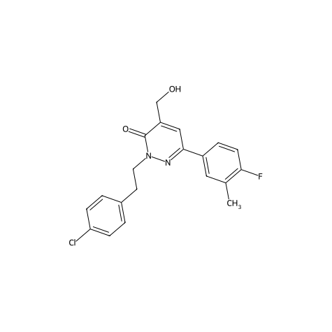 Cc1cc(-c2cc(CO)c(=O)n(CCc3ccc(Cl)cc3)n2)ccc1F